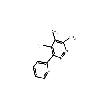 Cc1nnc(-c2ccccn2)c(C)c1C